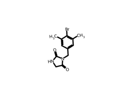 Cc1cc(CN2C(=O)CNC2=O)cc(C)c1Br